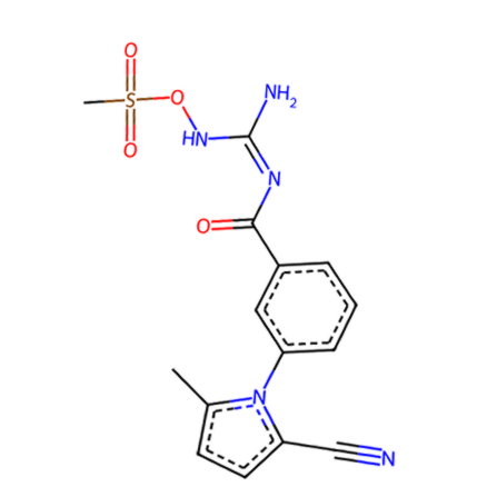 Cc1ccc(C#N)n1-c1cccc(C(=O)N=C(N)NOS(C)(=O)=O)c1